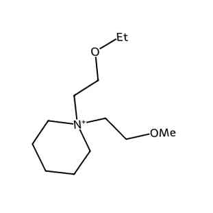 CCOCC[N+]1(CCOC)CCCCC1